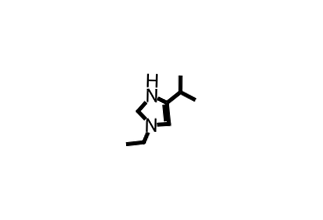 CCN1C=C(C(C)C)NC1